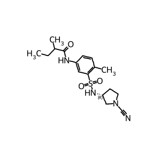 CCC(C)C(=O)Nc1ccc(C)c(S(=O)(=O)N[C@@H]2CCN(C#N)C2)c1